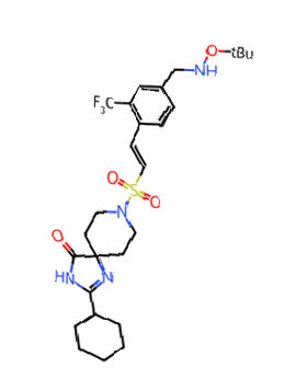 CC(C)(C)ONCc1ccc(/C=C/S(=O)(=O)N2CCC3(CC2)N=C(C2CCCCC2)NC3=O)c(C(F)(F)F)c1